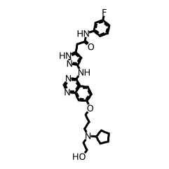 O=C(Cc1cc(Nc2ncnc3cc(OCCCN(CCO)C4CCCC4)ccc23)n[nH]1)Nc1cccc(F)c1